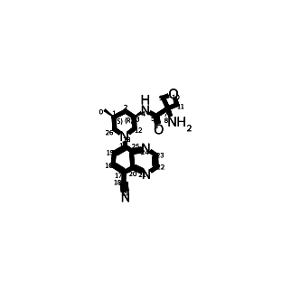 C[C@H]1C[C@@H](NC(=O)C2(N)COC2)CN(c2ccc(C#N)c3nccnc23)C1